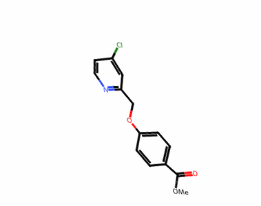 COC(=O)c1ccc(OCc2cc(Cl)ccn2)cc1